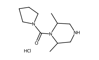 CC1CNCC(C)N1C(=O)N1CCCC1.Cl